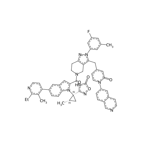 CCc1nccc(-c2ccc3c(c2)cc(C(=O)N2CCc4nn(-c5cc(C)cc(F)c5)c(Cc5ccn(-c6ccc7cnccc7c6)c(=O)c5)c4C2)n3[C@@]2(c3noc(=O)[nH]3)C[C@@H]2C)c1C